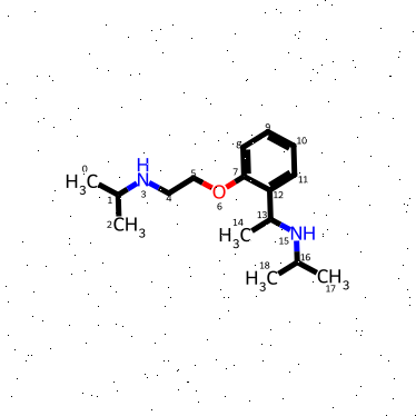 CC(C)NCCOc1ccccc1C(C)NC(C)C